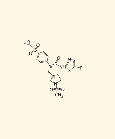 CS(=O)(=O)N1CC[C@H](C[C@@H](C(=O)Nc2ncc(F)s2)c2ccc(S(=O)(=O)C3CC3)cc2)C1